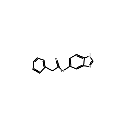 O=C(Cc1ccccc1)Nc1ccc2[nH]cnc2c1